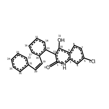 O=c1[nH]c2cc(Cl)ccc2c(O)c1-c1ccccc1/C=C\c1ccccc1